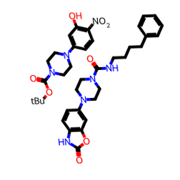 CC(C)(C)OC(=O)N1CCN(c2ccc([N+](=O)[O-])c(O)c2)CC1.O=C(NCCCCc1ccccc1)N1CCN(c2ccc3[nH]c(=O)oc3c2)CC1